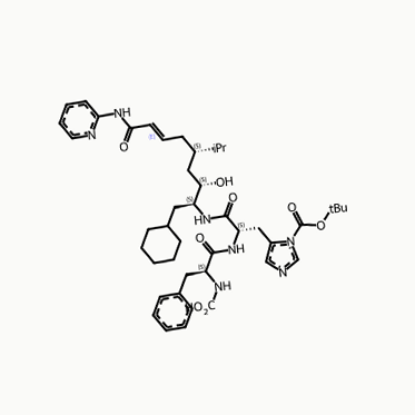 CC(C)[C@@H](C/C=C/C(=O)Nc1ccccn1)C[C@H](O)[C@H](CC1CCCCC1)NC(=O)[C@H](Cc1cncn1C(=O)OC(C)(C)C)NC(=O)[C@H](Cc1ccccc1)NC(=O)O